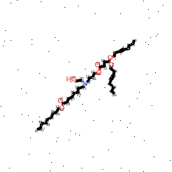 CCCCC#CCCOC(CCC(=O)OCCCCN(CCO)CCCCCCCC(=O)OCCCCCCCCC)OCCC#CCCCC